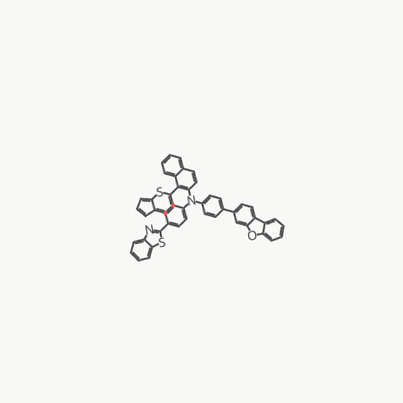 c1cc2ccc(-c3c(N(c4ccc(-c5ccc6c(c5)oc5ccccc56)cc4)c4ccc(-c5nc6ccccc6s5)cc4)ccc4ccccc34)sc-2c1